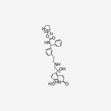 O=C(NC(c1ccccc1)c1cccc(CCNC[C@@H](O)c2ccc(O)c3[nH]c(=O)ccc23)c1)O[C@H]1CN2CCC1CC2